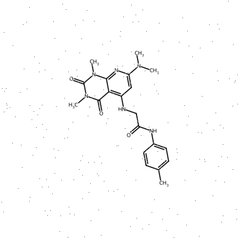 Cc1ccc(NC(=O)CNc2cc(N(C)C)nc3c2c(=O)n(C)c(=O)n3C)cc1